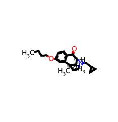 CCCCOc1ccc2c(c1)[C@]1(C)CCN(CC3CC3)[C@H](C2=O)[C@@H]1C